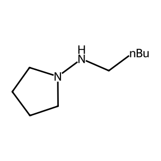 CCCCCNN1CCCC1